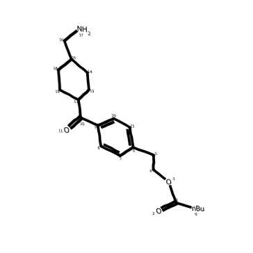 CCCCC(=O)OCCc1ccc(C(=O)C2CCC(CN)CC2)cc1